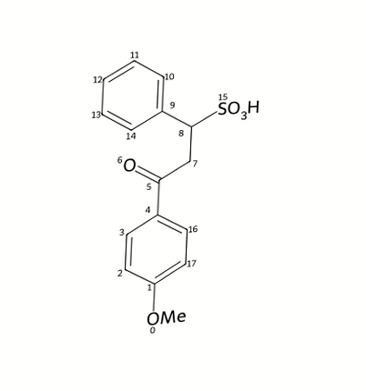 COc1ccc(C(=O)CC(c2ccccc2)S(=O)(=O)O)cc1